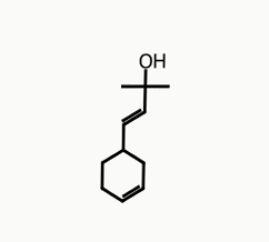 CC(C)(O)C=CC1CC=CCC1